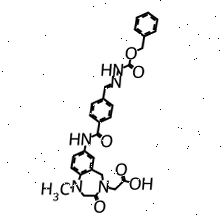 CN1CC(=O)N(CC(=O)O)Cc2cc(NC(=O)c3ccc(C=NNC(=O)OCc4ccccc4)cc3)ccc21